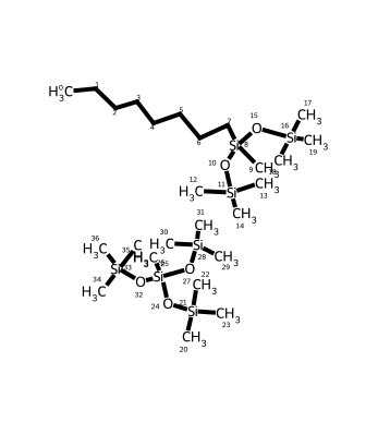 CCCCCCCC[Si](C)(O[Si](C)(C)C)O[Si](C)(C)C.C[Si](C)(C)O[Si](C)(O[Si](C)(C)C)O[Si](C)(C)C